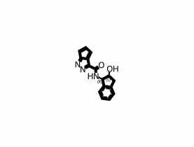 O=C(N[C@@H]1c2ccccc2C[C@@H]1O)C1=NN=C2C=CC=C21